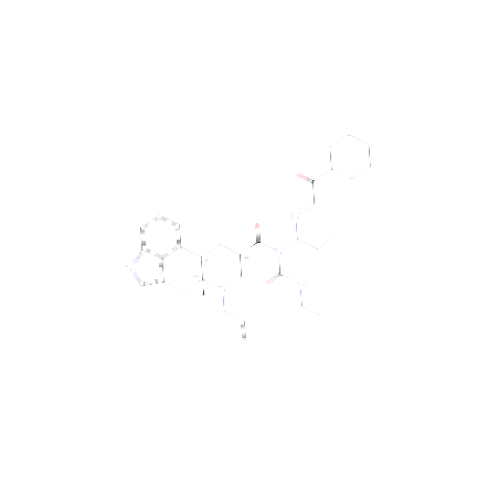 C=CCN1C[C@H](C(=O)N(C(=O)NCC)C(CC)NCC(=O)C2CCCCC2)C[C@@H]2c3cccc4[nH]cc(c34)C[C@H]21